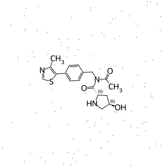 CC(=O)N(Cc1ccc(-c2scnc2C)cc1)C(=O)[C@@H]1C[C@@H](O)CN1